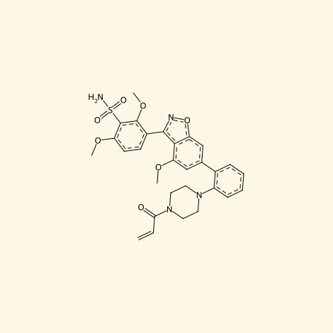 C=CC(=O)N1CCN(c2ccccc2-c2cc(OC)c3c(-c4ccc(OC)c(S(N)(=O)=O)c4OC)noc3c2)CC1